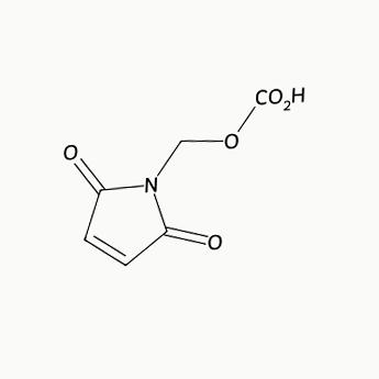 O=C(O)OCN1C(=O)C=CC1=O